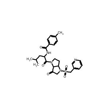 Cc1ccc(C(=O)NC(CC(C)C)C(=O)N2CCC3C2C(=O)CN3S(=O)(=O)Cc2cccnc2)cc1